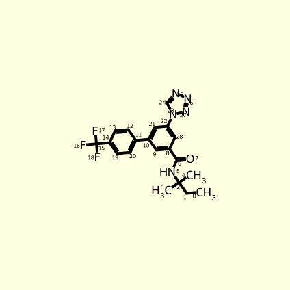 CCC(C)(C)NC(=O)c1cc(-c2ccc(C(F)(F)F)cc2)cc(-n2cnnn2)c1